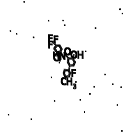 Cc1ccc(-c2ccc(O)c(C(=O)Nc3ccc(C(F)(F)F)cc3Cl)c2)c(F)c1